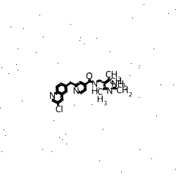 C=C(N)/N=C(/C)C(CNC(=O)c1ccnc(Cc2ccc3ncc(Cl)cc3c2)c1)=C(C)C